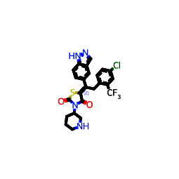 O=C1S/C(=C(/Cc2ccc(Cl)cc2C(F)(F)F)c2ccc3[nH]ncc3c2)C(=O)N1C1CCCNC1